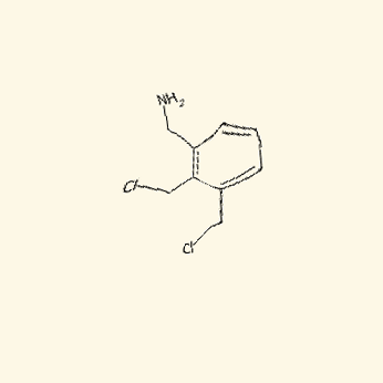 NCc1cccc(CCl)c1CCl